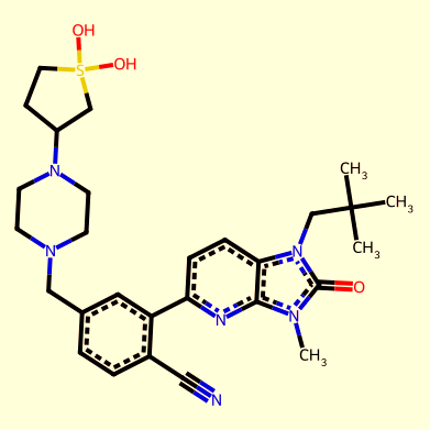 Cn1c(=O)n(CC(C)(C)C)c2ccc(-c3cc(CN4CCN(C5CCS(O)(O)C5)CC4)ccc3C#N)nc21